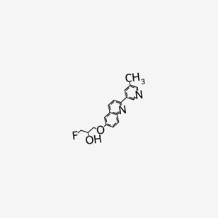 Cc1cncc(-c2ccc3cc(OCC(O)CF)ccc3n2)c1